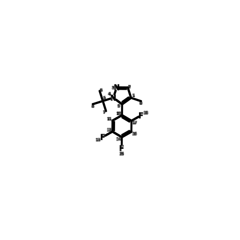 Cc1cnn(C(C)(C)C)c1-c1cc(F)c(F)cc1F